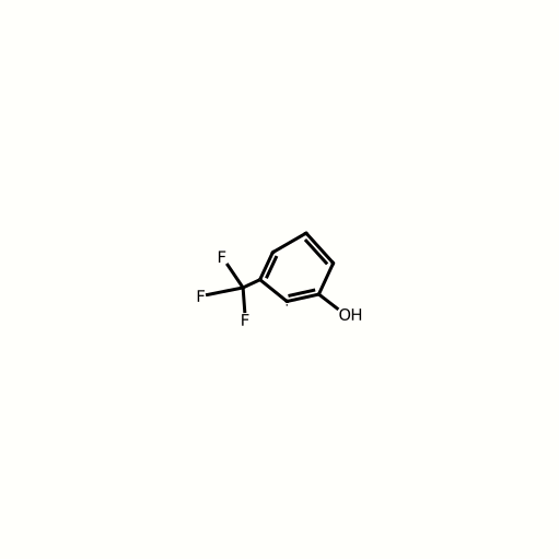 Oc1[c]c(C(F)(F)F)ccc1